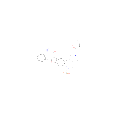 CNC(=O)c1c(-c2ccc(F)cc2)oc2cc(N(C)S(C)(=O)=O)c([C@@H]3CCCN(C(=O)C=C(C)C)C3)cc12